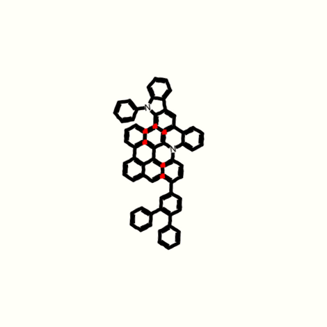 c1ccc(-c2ccc(-c3ccc(N(c4ccccc4-c4ccc5c(c4)c4ccccc4n5-c4ccccc4)c4ccccc4-c4cccc5cccc(-c6ccccc6)c45)cc3)cc2-c2ccccc2)cc1